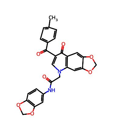 Cc1ccc(C(=O)c2cn(CC(=O)Nc3ccc4c(c3)OCO4)c3cc4c(cc3c2=O)OCO4)cc1